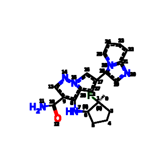 C[C@]1(F)CCC[C@H]1Nc1c(C(N)=O)cnn2cc(-c3cnc4ccccn34)cc12